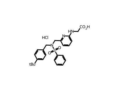 CC(C)(C)c1ccc(CN(Cc2cccc(NCC(=O)O)n2)S(=O)(=O)c2ccccc2)cc1.Cl